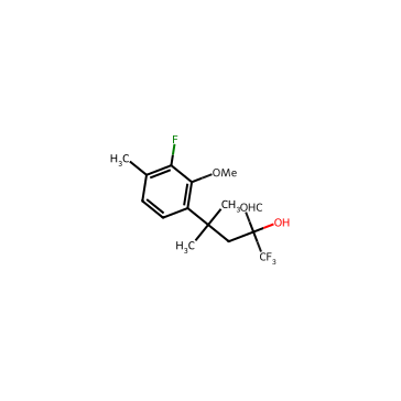 COc1c(C(C)(C)CC(O)(C=O)C(F)(F)F)ccc(C)c1F